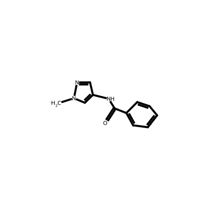 [CH2]n1cc(NC(=O)c2ccccc2)cn1